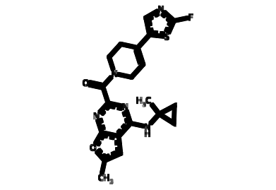 Cc1cc2c(NC3(C)CC3)nc(C(=O)N3CC=C(c4cnc(F)s4)CC3)nc2o1